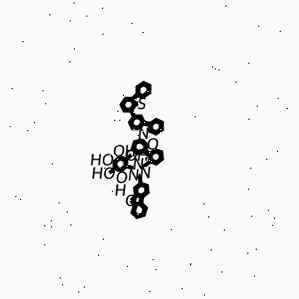 Oc1c(O)c(O)c(-c2nc(-c3ccc4c(c3)oc3ccccc34)nc(-c3cccc4oc5c(-n6c7ccccc7c7cc(-c8cccc9c8sc8ccccc89)ccc76)cccc5c34)n2)c(O)c1O